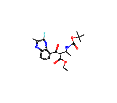 CCOC(=O)C(C(=O)c1cccc2nc(C)c(F)nc12)C(C)NC(=O)OC(C)(C)C